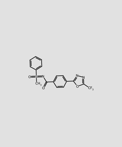 CS(=O)(=NC(=O)c1ccc(-c2nnc(C(F)(F)F)o2)cc1)c1ccccc1